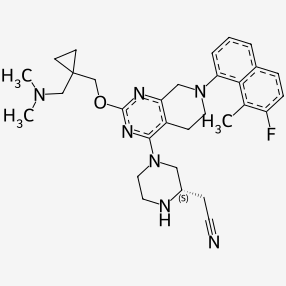 Cc1c(F)ccc2cccc(N3CCc4c(nc(OCC5(CN(C)C)CC5)nc4N4CCN[C@@H](CC#N)C4)C3)c12